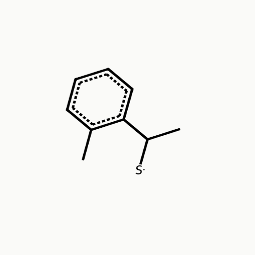 Cc1ccccc1C(C)[S]